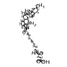 Cc1ccc(F)c(NC(=O)Nc2ccc(-c3cccc4c3c(N)nn4C(=O)CCCCCCCCCCCNC(=O)CCC(=O)O)cc2)c1